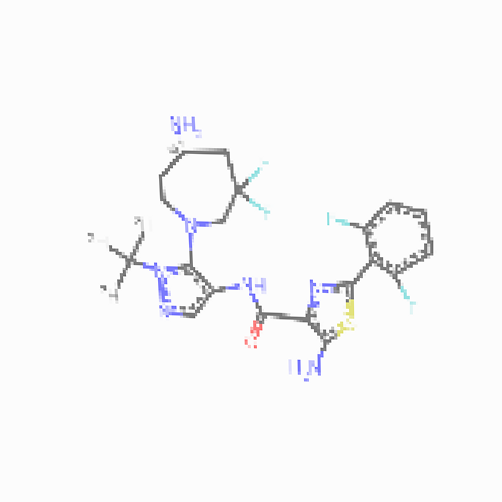 [2H]C([2H])([2H])n1ncc(NC(=O)c2nc(-c3c(F)cccc3F)sc2N)c1N1CC[C@H](N)CC(F)(F)C1